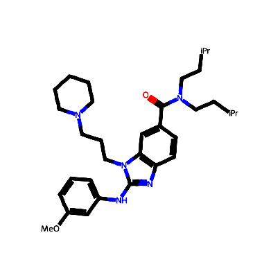 COc1cccc(Nc2nc3ccc(C(=O)N(CCC(C)C)CCC(C)C)cc3n2CCCN2CCCCC2)c1